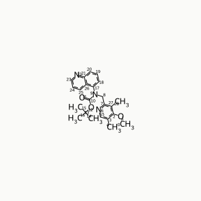 COc1c(C)cnc(CN(C(=O)OC(C)(C)C)c2cccc3ncccc23)c1C